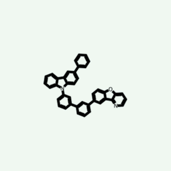 c1ccc(-c2ccc3c(c2)c2ccccc2n3-c2cccc(-c3cccc(-c4ccc5oc6cccnc6c5c4)c3)c2)cc1